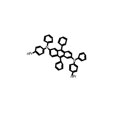 CCCc1ccc(N(c2ccccc2)c2ccc3c(-c4ccccc4)c4cc(N(c5ccccc5)c5ccc(CCC)cc5)ccc4c(-c4ccccc4)c3c2)cc1